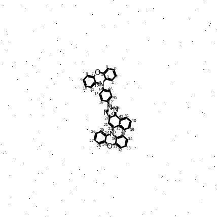 c1ccc2c(c1)Oc1ccccc1N2c1ccc(-n2nc3cc(N4c5ccccc5Oc5ccccc54)c4ccccc4c3n2)cc1